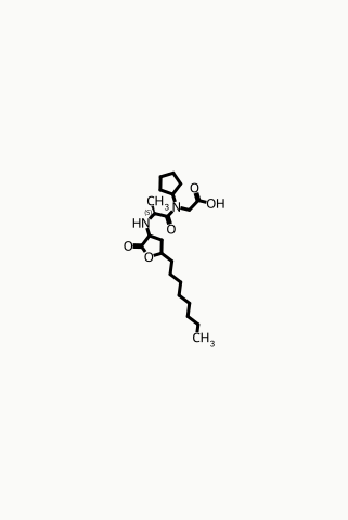 CCCCCCCCC1CC(N[C@@H](C)C(=O)N(CC(=O)O)C2CCCC2)C(=O)O1